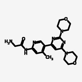 Cc1cc(NC(=O)CN)ncc1-c1cc(N2CCOCC2)nc(N2CCOCC2)n1